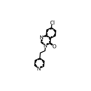 O=c1c2ccc(Cl)cc2ncn1CCc1ccncc1